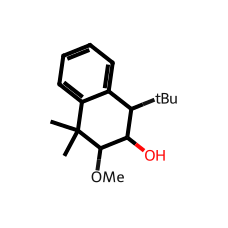 COC1C(O)C(C(C)(C)C)c2ccccc2C1(C)C